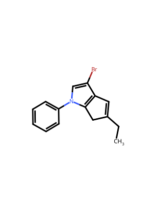 CCC1=Cc2c(Br)cn(-c3ccccc3)c2C1